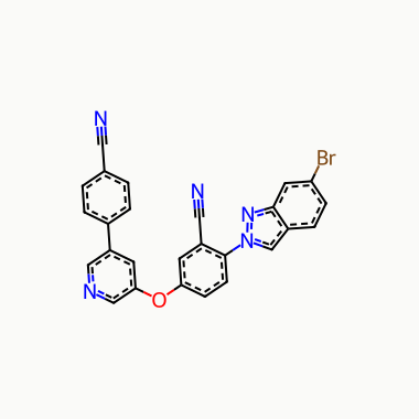 N#Cc1ccc(-c2cncc(Oc3ccc(-n4cc5ccc(Br)cc5n4)c(C#N)c3)c2)cc1